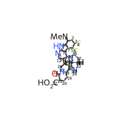 CNc1cc(F)c(F)c2c1[nH]c1ncc(-c3cc(F)c4ccc(C(=O)O)c(=O)n4c3)c(N3CC[C@@H]4CN(C)C[C@@H]43)c12